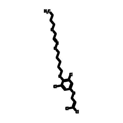 CCCCOC/C=N/OCCCCCOc1c(Cl)cc(OCC=C(Cl)Cl)cc1Cl